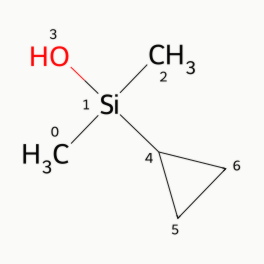 C[Si](C)(O)C1CC1